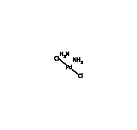 N.N.[Cl][Pd][Cl]